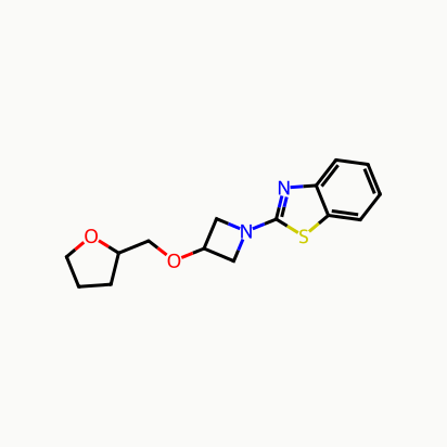 c1ccc2sc(N3CC(OCC4CCCO4)C3)nc2c1